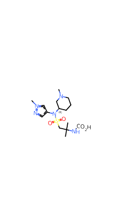 CN1CCC[C@@H](N(c2cnn(C)c2)S(=O)(=O)CC(C)(C)NC(=O)O)C1